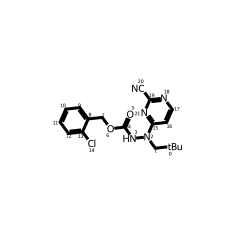 CC(C)(C)CN(NC(=O)OCc1ccccc1Cl)c1ccnc(C#N)n1